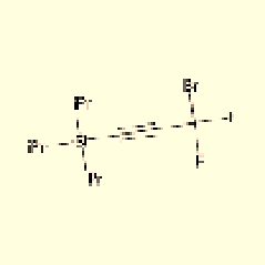 CC(C)[Si](C#CC(F)(F)Br)(C(C)C)C(C)C